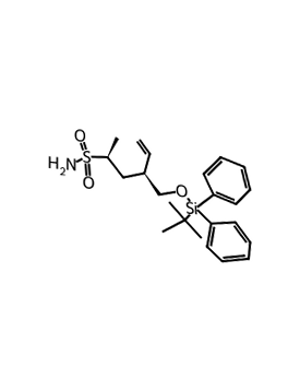 C=C[C@@H](CO[Si](c1ccccc1)(c1ccccc1)C(C)(C)C)C[C@H](C)S(N)(=O)=O